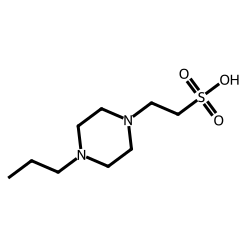 CCCN1CCN(CCS(=O)(=O)O)CC1